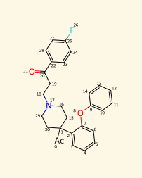 CC(=O)C1(c2ccccc2Oc2ccccc2)CCN(CCC(=O)c2ccc(F)cc2)CC1